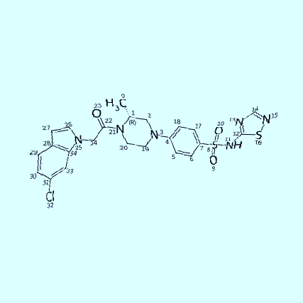 C[C@@H]1CN(c2ccc(S(=O)(=O)Nc3ncns3)cc2)CCN1C(=O)Cn1ccc2ccc(Cl)cc21